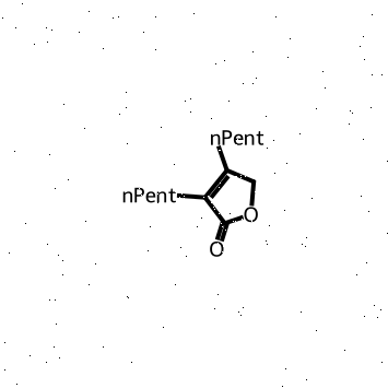 CCCCCC1=C(CCCCC)C(=O)OC1